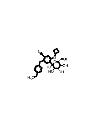 CCc1ccc(Cc2cc([C@]3(O)O[C@H](CO)[C@@H](O)[C@H](O)[C@H]3O)c(OC3CCC3)cc2C#N)cc1